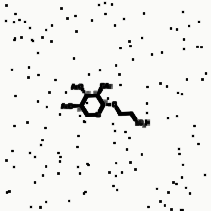 CC(=O)O[C@@H]1[C@@H](OC(C)=O)[C@H](OCCS(=O)(=O)O)OC[C@H]1OC(C)=O